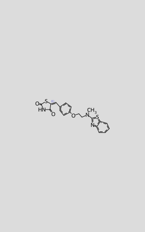 CN(CCOc1ccc(/C=C2/SC(=O)NC2=O)cc1)c1nc2ccccc2s1